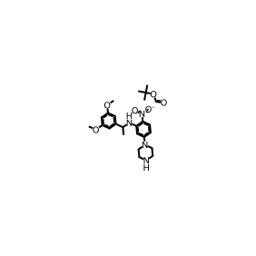 CC(C)(C)OC=O.COc1cc(OC)cc(C(C)Nc2cc(N3CCNCC3)ccc2[N+](=O)[O-])c1